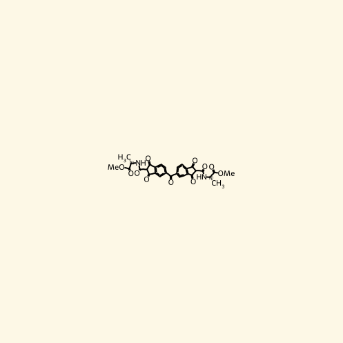 COC(=O)[C@H](C)NC(=O)C1C(=O)c2ccc(C(=O)c3ccc4c(c3)C(=O)C(C(=O)N[C@@H](C)C(=O)OC)C4=O)cc2C1=O